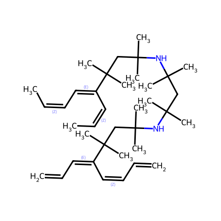 C=C/C=C\C(=C/C=C)C(C)(C)CC(C)(C)NC(C)(C)CC(C)(C)NC(C)(C)CC(C)(C)C(/C=C\C)=C/C=C\C